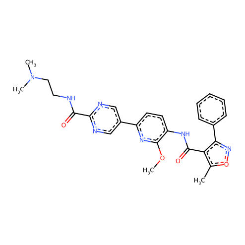 COc1nc(-c2cnc(C(=O)NCCN(C)C)nc2)ccc1NC(=O)c1c(-c2ccccc2)noc1C